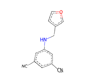 N#Cc1cc(C#N)cc(NCc2ccoc2)c1